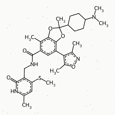 CSc1cc(C)[nH]c(=O)c1CNC(=O)c1cc(-c2c(C)noc2C)c2c(c1C)OC(C)(C1CCC(N(C)C)CC1)O2